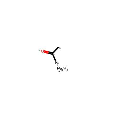 C[C](=O)[Ni].[MgH2]